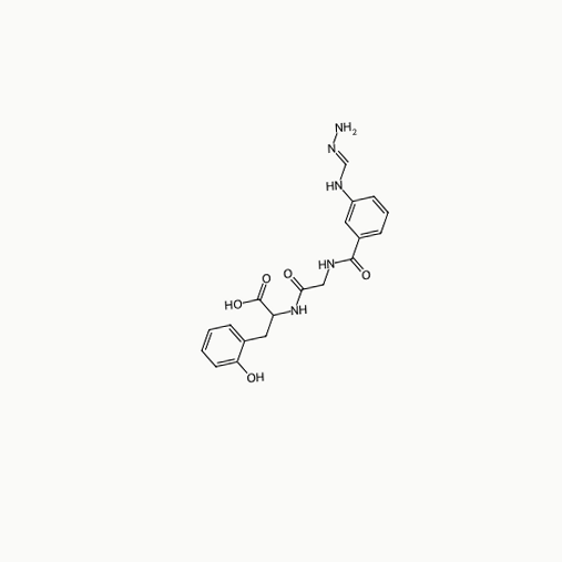 NN=CNc1cccc(C(=O)NCC(=O)NC(Cc2ccccc2O)C(=O)O)c1